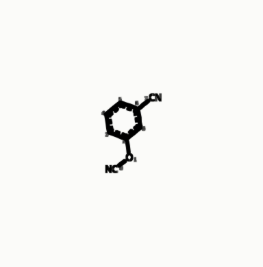 N#COc1cccc(C#N)c1